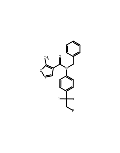 Cc1oncc1C(=O)N(Cc1ccccc1)c1ccc(C(F)(F)CF)cc1